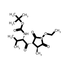 CCON1C(=O)[C@@H](C(=O)[C@@H](NC(=O)OC(C)(C)C)C(C)C)[C@H](C)C1=O